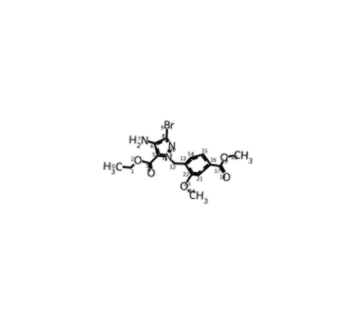 CCOC(=O)c1c(N)c(Br)nn1Cc1ccc(C(=O)OC)cc1OC